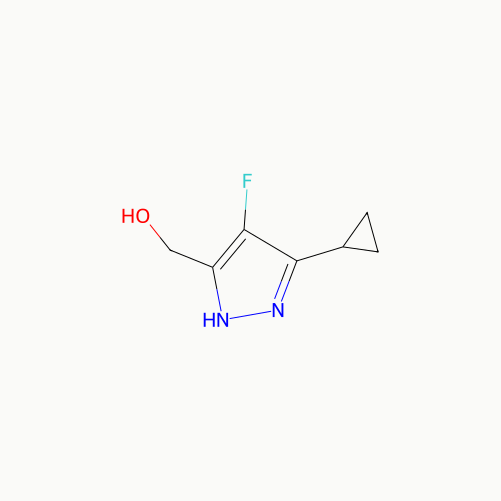 OCc1[nH]nc(C2CC2)c1F